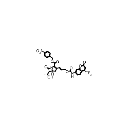 C[C@@H](O)[C@H]1C(=O)N2C(C(=O)OCc3ccc([N+](=O)[O-])cc3)=C(/C=C/COC(=O)Nc3ccc4c(C(F)(F)F)cc(=O)oc4c3)[C@H](C)[C@H]12